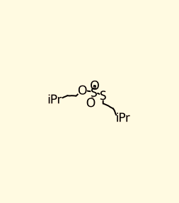 CC(C)CCOS(=O)(=O)SCCC(C)C